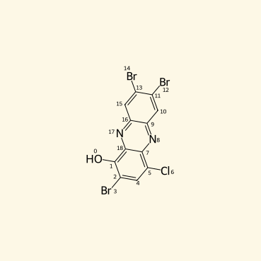 Oc1c(Br)cc(Cl)c2nc3cc(Br)c(Br)cc3nc12